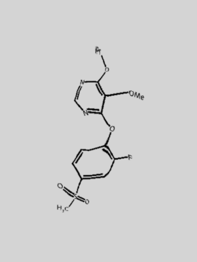 COc1c(Oc2ccc(S(C)(=O)=O)cc2F)ncnc1OC(C)C